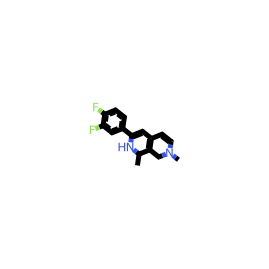 CC1NC(c2ccc(F)c(F)c2)=CC2=C1CN(C)C=C2